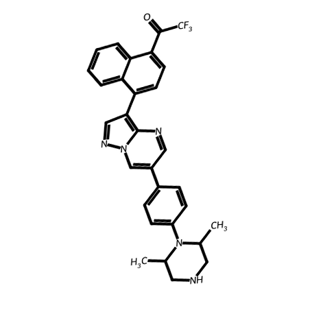 CC1CNCC(C)N1c1ccc(-c2cnc3c(-c4ccc(C(=O)C(F)(F)F)c5ccccc45)cnn3c2)cc1